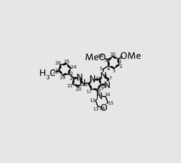 COc1ccc(Cn2cnc3c(N4CCOCC4)cc(-n4ccc(-c5cccc(C)c5)n4)nc32)c(OC)c1